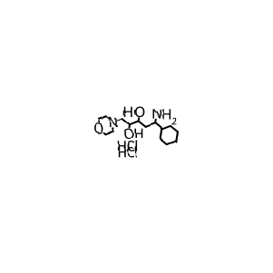 Cl.Cl.NC(CC(O)C(O)CN1CCOCC1)C1CCCCC1